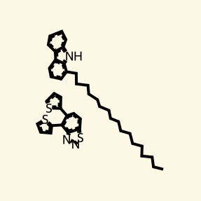 CCCCCCCCCCCCCCCCCc1cccc2c1[nH]c1ccccc12.c1csc(-c2ccc3snnc3c2-c2cccs2)c1